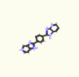 C1=CC2NC(c3ccc(-c4nc5cnccc5[nH]4)cc3)=NC2N=C1